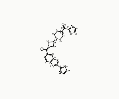 O=C(c1ccc2nc(-c3nccs3)sc2c1)N1CC(N2CCN(C(=O)c3nccs3)CC2)C1